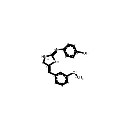 COc1cccc(C=C2CNC(=Nc3ccc(O)cc3)S2)c1